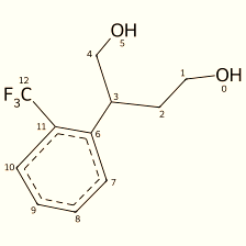 OCCC(CO)c1ccccc1C(F)(F)F